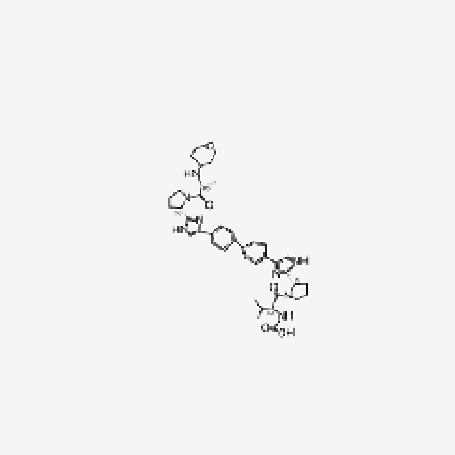 CC(C)[C@H](NC(=O)O)C(=O)N1CCC[C@H]1c1nc(-c2ccc(-c3ccc(-c4c[nH]c([C@@H]5CCCN5C(=O)[C@@H](C)NC5CCOCC5)n4)cc3)cc2)c[nH]1